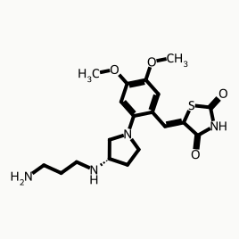 COc1cc(/C=C2\SC(=O)NC2=O)c(N2CC[C@H](NCCCN)C2)cc1OC